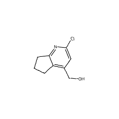 OCc1cc(Cl)nc2c1CCC2